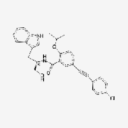 CC(C)Oc1ccc(C#Cc2ccc(Cl)cc2)cc1C(=O)N[C@@H](CO)Cc1c[nH]c2ccccc12